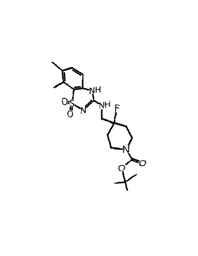 Cc1ccc2c(c1C)S(=O)(=O)N=C(NCC1(F)CCN(C(=O)OC(C)(C)C)CC1)N2